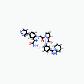 NC(=O)c1nn(CC(=O)N2C[C@H](F)CC2C(=O)Nc2ccc(F)c(-c3nnc4n3CCCCC4)c2)c2ccc(-c3ccnnc3)cc12